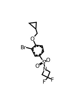 O=S(=O)(c1ccc(OCC2CC2)c(Br)c1)N1CC(F)(F)C1